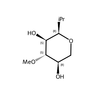 CO[C@@H]1[C@@H](O)[C@@H](C(C)C)OC[C@H]1O